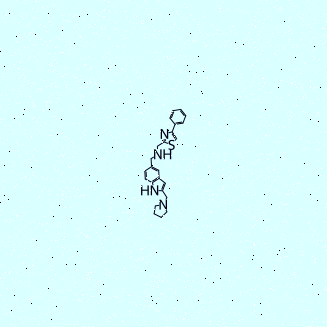 c1ccc(-c2csc(CNCc3ccc4[nH]c(CN5CCCC5)cc4c3)n2)cc1